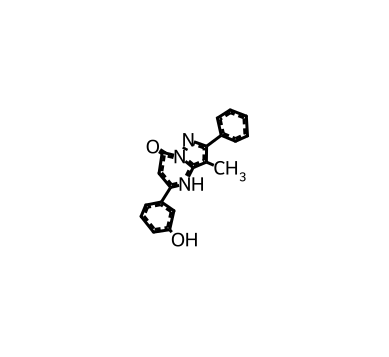 Cc1c(-c2ccccc2)nn2c(=O)cc(-c3cccc(O)c3)[nH]c12